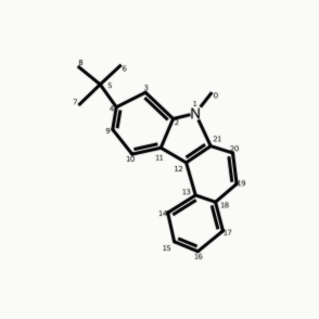 Cn1c2cc(C(C)(C)C)ccc2c2c3ccccc3ccc21